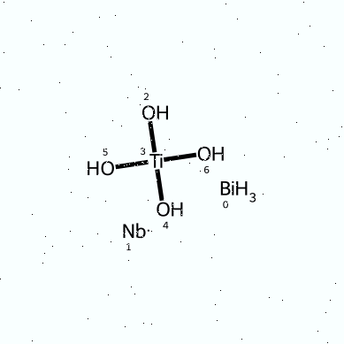 [BiH3].[Nb].[OH][Ti]([OH])([OH])[OH]